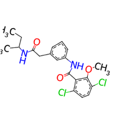 CCC(C)NC(=O)Cc1cccc(NC(=O)c2c(Cl)ccc(Cl)c2OC)c1